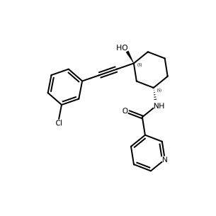 O=C(N[C@H]1CCC[C@@](O)(C#Cc2cccc(Cl)c2)C1)c1cccnc1